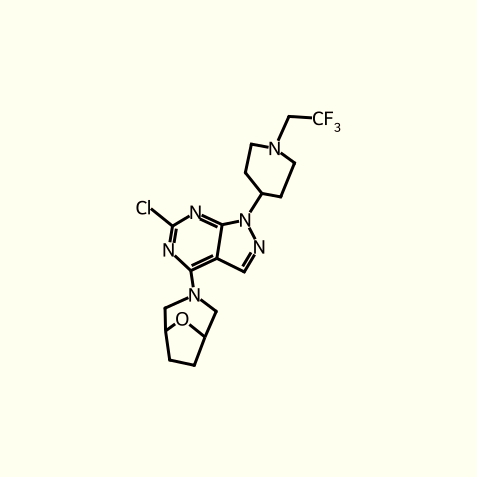 FC(F)(F)CN1CCC(n2ncc3c(N4CC5CCC(C4)O5)nc(Cl)nc32)CC1